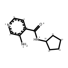 Nc1cnccc1C(=O)NC1CCCC1